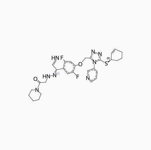 N=C/C(=N\NCC(=O)N1CCCCC1)c1cc(F)c(OCc2nnc(S[C@H]3C=CCCC3)n2-c2cccnc2)cc1F